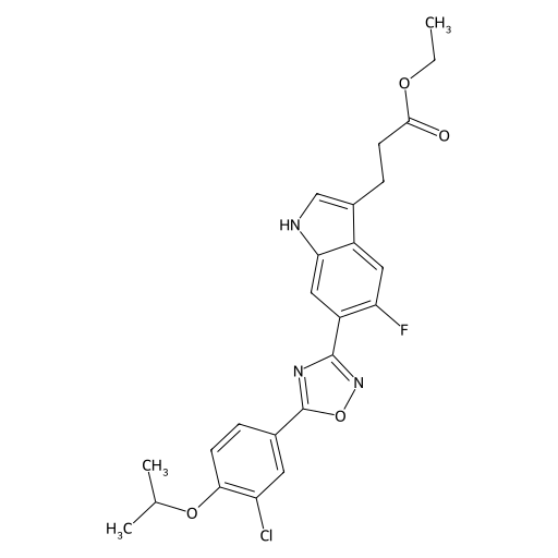 CCOC(=O)CCc1c[nH]c2cc(-c3noc(-c4ccc(OC(C)C)c(Cl)c4)n3)c(F)cc12